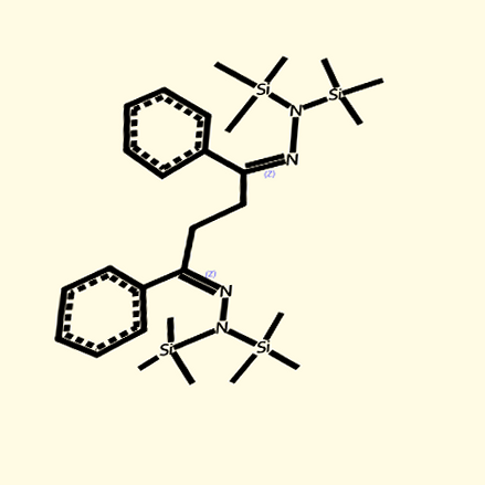 C[Si](C)(C)N(/N=C(/CC/C(=N/N([Si](C)(C)C)[Si](C)(C)C)c1ccccc1)c1ccccc1)[Si](C)(C)C